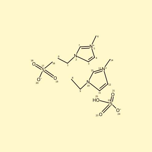 CCn1cc[n+](C)c1.CCn1cc[n+](C)c1.CS(=O)(=O)[O-].O=S(=O)([O-])O